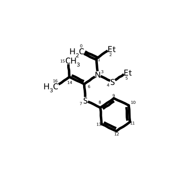 C=C(CC)N(SCC)C(Sc1ccccc1)=C(C)C